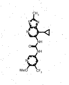 COc1ncc(NC(=O)Nc2cnc3sc(C)nc3c2C2CC2)cc1C(F)(F)F